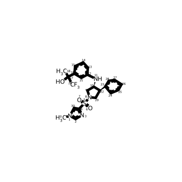 Cn1cnc(S(=O)(=O)N2C[C@H](Nc3cccc(C(C)(O)C(F)(F)F)c3)[C@@H](c3ccccc3)C2)c1